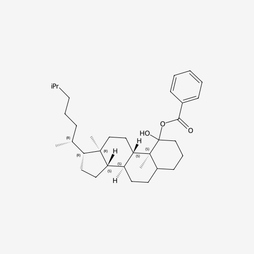 CC(C)CCC[C@@H](C)[C@H]1CC[C@H]2[C@@H]3CCC4CCCC(O)(OC(=O)c5ccccc5)[C@]4(C)[C@H]3CC[C@]12C